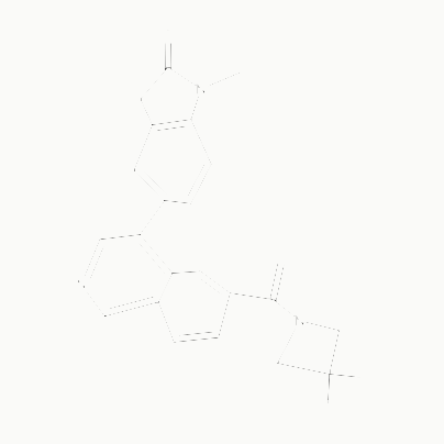 CN1C(=O)Cc2cc(-c3cncc4ccc(C(=O)N5CC(F)(F)C5)cc34)ccc21